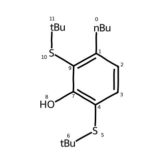 CCCCc1ccc(SC(C)(C)C)c(O)c1SC(C)(C)C